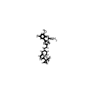 COc1cc(F)cc2c1nc(N)n1nc(CC[C@H]3CCn4c(cnc4C4(C(F)(F)F)CC4)C3)nc21